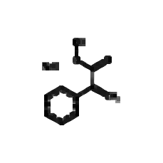 C=C(C(=O)OO)c1ccccc1.[NaH]